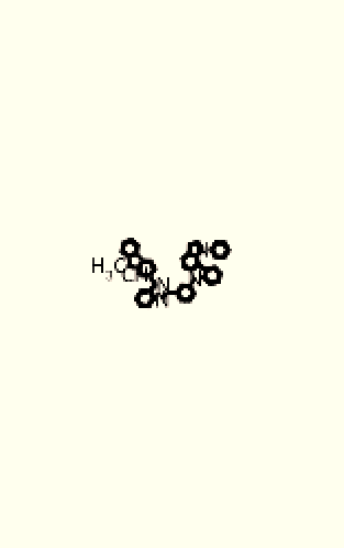 CC1(C)c2ccccc2-c2ccc(-c3nc(-c4cccc(-n5c6ccccc6c6c7c(ccc65)ccn7-c5ccccc5)c4)nc4ccccc34)cc21